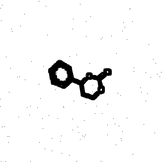 O=C1OCCC(c2ccccc2)O1